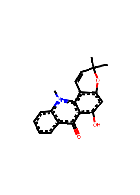 Cn1c2ccccc2c(=O)c2c(O)cc3c(c21)C=CC(C)(C)O3